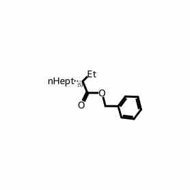 CCCCCCC[C@H](CC)C(=O)OCc1ccccc1